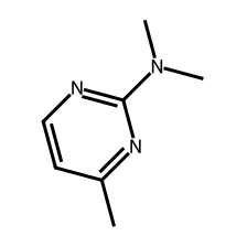 Cc1ccnc(N(C)C)n1